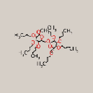 CCCCOCC1O[C@H](OCC2O[C@H](OC)C(OCCCC)[C@@H](OCCCC)[C@@H]2OCCCC)C(OCCCC)C(OCCCC)[C@@H]1OCCCC